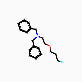 FCCCOCCN(Cc1ccccc1)Cc1ccccc1